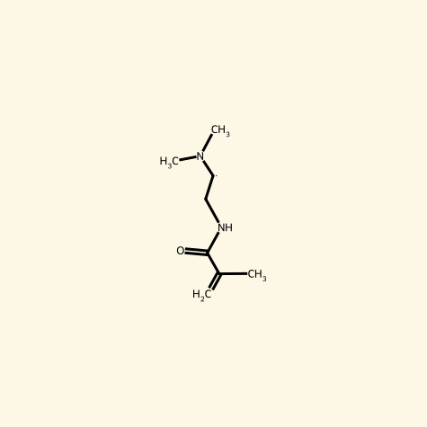 C=C(C)C(=O)NC[CH]N(C)C